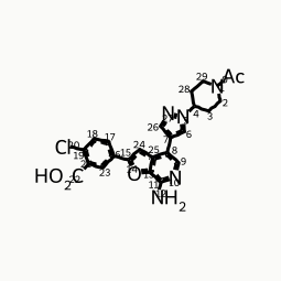 CC(=O)N1CCC(n2cc(-c3cnc(N)c4oc(-c5ccc(Cl)c(C(=O)O)c5)cc34)cn2)CC1